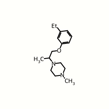 CCc1cccc(OCC(C)N2CCN(C)CC2)c1